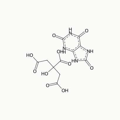 O=C(O)CC(O)(CC(=O)O)C(=O)O.O=c1[nH]c(=O)c2[nH]c(=O)[nH]c2[nH]1